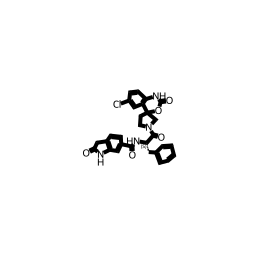 O=C1Cc2ccc(C(=O)N[C@@H](Cc3ccccc3)C(=O)N3CCC4(C3)OC(=O)Nc3ccc(Cl)cc34)cc2N1